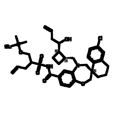 C=CCC(O)[C@@H]1CC[C@H]1CN1C[C@@]2(CCCc3cc(Cl)ccc32)COc2ccc(C(=O)NS(=O)(=O)C(CC=C)CO[Si](C)(C)C(C)(C)C)cc21